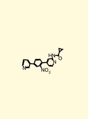 O=C(Nc1cc(-c2ccc(-c3cccnc3)cc2[N+](=O)[O-])ccn1)C1CC1